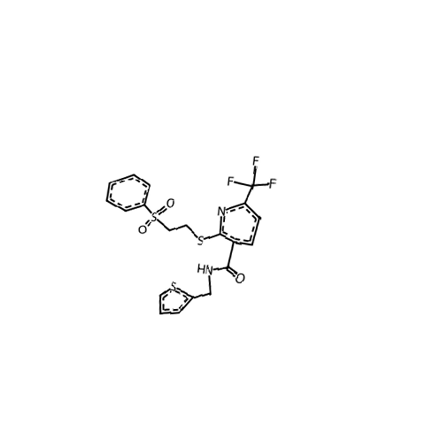 O=C(NCc1cccs1)c1ccc(C(F)(F)F)nc1SCCS(=O)(=O)c1ccccc1